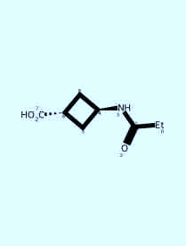 CCC(=O)N[C@H]1C[C@H](C(=O)O)C1